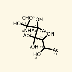 CC(=O)NC(O)(C=O)C(O)(C(C)=O)C(O)(C(C)=O)C(O)C(O)C(C)=O